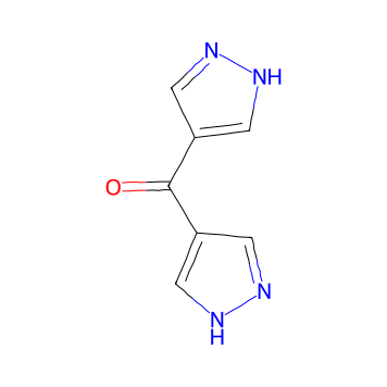 O=C(c1cn[nH]c1)c1cn[nH]c1